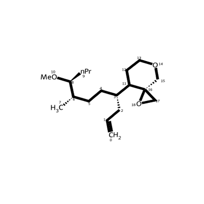 C=CC[C@H](CC[C@H](C)[C@H](CCC)OC)C1CCOC[C@@]12CO2